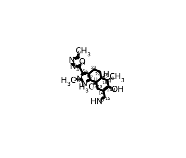 Cc1nnc(-c2c3c(nn2C)[C@@]2(C)CC(C=N)=C(O)[C@@H](C)[C@@H]2CC3)o1